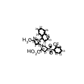 Cc1cc(N2CC(S(=O)(=O)c3ccccc3C(F)(F)F)CC2C(=O)O)n(-c2ccnc3ccccc23)n1